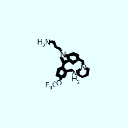 NCCCn1cc(-c2ccc(OC(F)(F)F)cc2CN)c2cc(CN3CCCCC3)ccc21